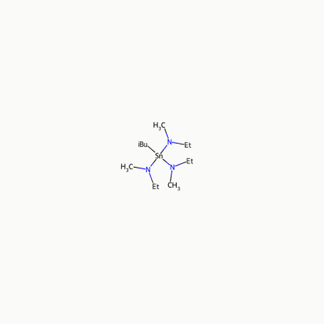 CC[CH](C)[Sn]([N](C)CC)([N](C)CC)[N](C)CC